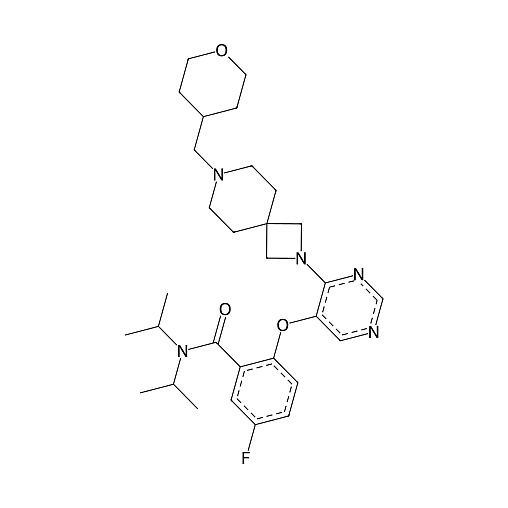 CC(C)N(C(=O)c1cc(F)ccc1Oc1cncnc1N1CC2(CCN(CC3CCOCC3)CC2)C1)C(C)C